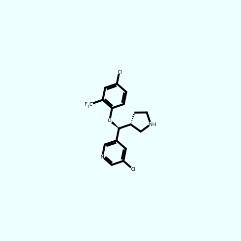 FC(F)(F)c1cc(Cl)ccc1O[C@H](c1cncc(Cl)c1)[C@@H]1CCNC1